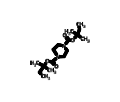 CCC(C)(C)OC(=O)N1CCN(C(=O)OC(C)(C)CC)CC1